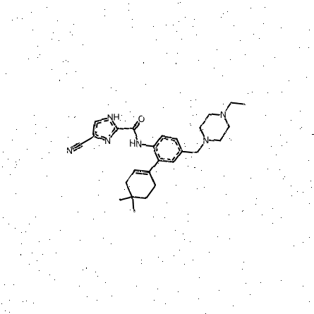 CCN1CCN(Cc2ccc(NC(=O)c3nc(C#N)c[nH]3)c(C3=CCC(C)(C)CC3)c2)CC1